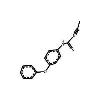 CC#[N+]C(=S)Nc1ccc(Oc2ccccc2)cc1